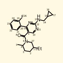 CCC1CCC(C)N(C(=O)c2cnc(NCC3CC3)nc2-c2ccccc2F)C1